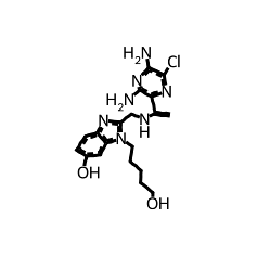 C=C(NCc1nc2ccc(O)cc2n1CCCCCO)c1nc(Cl)c(N)nc1N